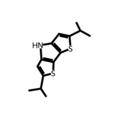 CC(C)c1cc2[nH]c3cc(C(C)C)sc3c2s1